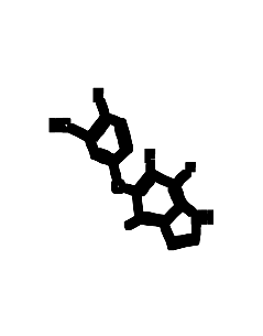 Cc1c(Oc2ccc(F)c(C#N)c2)c(F)c(F)c2[nH]ccc12